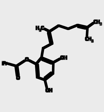 CC(C)=CCC/C(C)=C/Cc1c(O)cc(O)cc1OC(=O)C(C)C